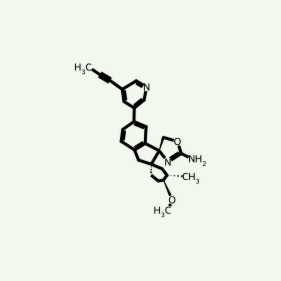 CC#Cc1cncc(-c2ccc3c(c2)[C@@]2(COC(N)=N2)[C@]2(CC[C@H](OC)[C@@H](C)C2)C3)c1